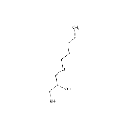 CCCCCOCC(O)C[NH]